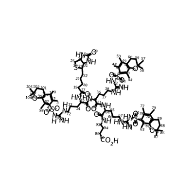 Cc1c(C)c(S(=O)(=O)NC(=N)NCCCC(NC(=O)CCCCC2SCC3NC(=O)NC32)C(=O)NC(CCCNC(=N)NS(=O)(=O)c2c(C)c(C)c3c(c2C)OC(C)(C)CC3)C(=O)NC(CCCNC(=N)NS(=O)(=O)c2c(C)c(C)c3c(c2C)OC(C)(C)CC3)C(=O)NCCCC(=O)O)c(C)c2c1CCC(C)(C)O2